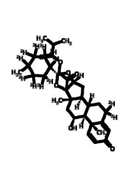 [2H]C1([2H])C[C@@H]2[C@H]([C@@H](O)C[C@@]3(C)[C@H]2C[C@H]2O[C@@H](C4([2H])C([2H])([2H])C([2H])([2H])C([2H])(C)C([2H])([2H])C4([2H])[2H])O[C@]23C(=O)COC(=O)C(C)C)[C@@]2(C)C=CC(=O)C=C12